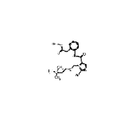 CC(C)(C)OC(=O)Cc1ccccc1NC(=O)c1cnc(Br)n1COCC[Si](C)(C)C